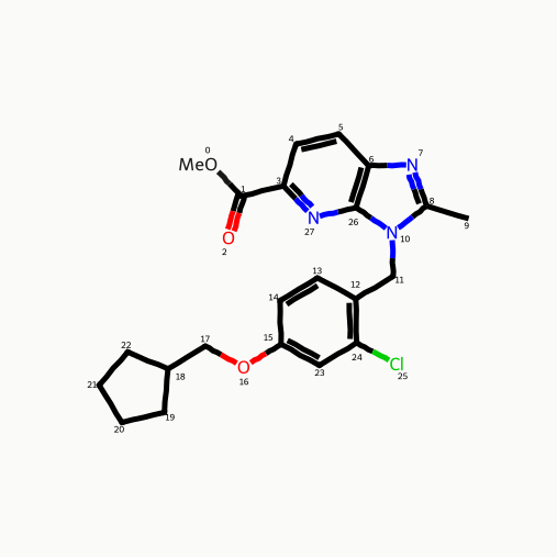 COC(=O)c1ccc2nc(C)n(Cc3ccc(OCC4CCCC4)cc3Cl)c2n1